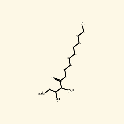 CCCCCCCCCCCC(O)C(C(=O)O)C(=O)CCCCCCCCCO